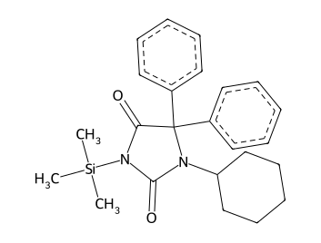 C[Si](C)(C)N1C(=O)N(C2CCCCC2)C(c2ccccc2)(c2ccccc2)C1=O